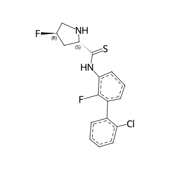 Fc1c(NC(=S)[C@@H]2C[C@@H](F)CN2)cccc1-c1ccccc1Cl